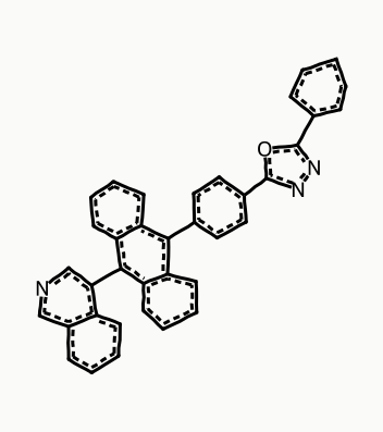 c1ccc(-c2nnc(-c3ccc(-c4c5ccccc5c(-c5cncc6ccccc56)c5ccccc45)cc3)o2)cc1